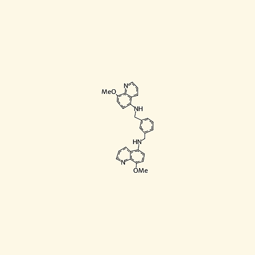 COc1ccc(NCc2cccc(CNc3ccc(OC)c4ncccc34)c2)c2cccnc12